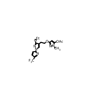 CCOc1nn(-c2ccc(C(F)(F)F)cn2)cc1CCOc1cc(OC(C)=O)n(C)n1